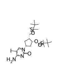 CC(C)(C)[Si](C)(C)OC[C@H]1C[C@@H](n2cc(I)c(N)nc2=O)C[C@H]1OO[Si](C)(C)C(C)(C)C